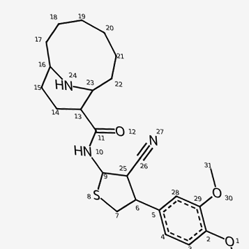 COc1ccc(C2CSC(NC(=O)C3CCC4CCCCCCC3N4)C2C#N)cc1OC